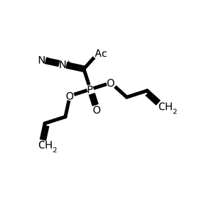 C=CCOP(=O)(OCC=C)C(=[N+]=[N-])C(C)=O